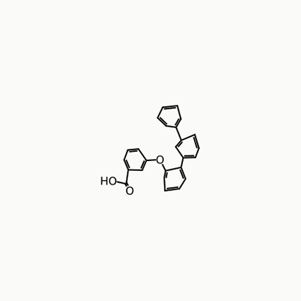 O=C(O)c1cccc(Oc2ccccc2-c2cccc(-c3ccccc3)c2)c1